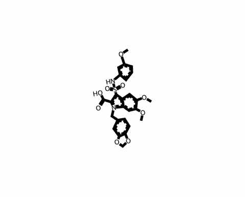 COc1cccc(NS(=O)(=O)c2c(C(=O)O)n(Cc3ccc4c(c3)OCO4)c3cc(OC)c(OC)cc23)c1